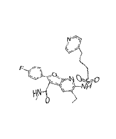 CCc1cc2c(C(=O)NC)c(-c3ccc(F)cc3)oc2nc1NS(=O)(=O)CCCc1ccncc1